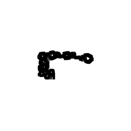 COC(=O)C(=Cc1ccc2cccc(N3CCN(CCc4ccc(OCCCN5CCCCCC5)cc4)CC3)c2n1)C(=O)O